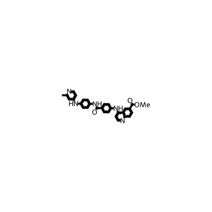 COC(=O)c1ccc2nccc(Nc3ccc(C(=O)Nc4ccc(Nc5ccnc(C)c5)cc4)cc3)c2c1